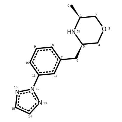 C[C@H]1COC[C@@H](Cc2cccc(-n3nccn3)c2)N1